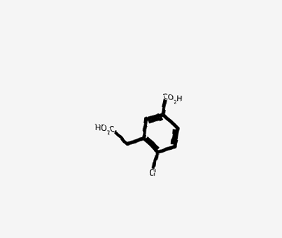 O=C(O)Cc1cc(C(=O)O)ccc1Cl